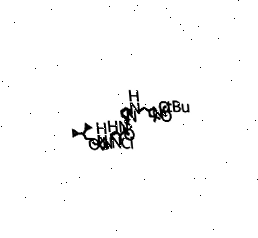 CC(C)(C)OC(=O)N1CC(CCNc2cccc(SNC(=O)c3ccc(N4C=CC(OCCC(C5CC5)C5CC5)N4)nc3Cl)n2)CC1(C)C